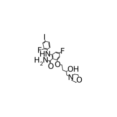 NC(=O)c1c(Nc2ccc(I)cc2F)cc(F)cc1OCC[C@@H](O)CN1CCOCC1